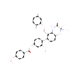 COc1ccc(C(=O)Oc2ccc(-c3ccc4c(c3COc3cc(F)ccc3C)N(C)C(=O)C(C)(C)N4)c(OC)c2)cc1